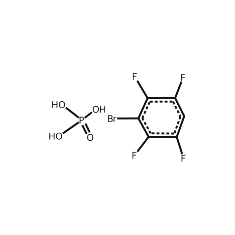 Fc1cc(F)c(F)c(Br)c1F.O=P(O)(O)O